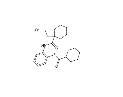 CC(C)CCC1(C(=O)Nc2ccccc2SC(=O)C2CCCCC2)CCCCC1